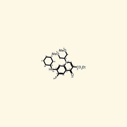 CCOC(=O)c1cn(C(COC)COC)c2cc(NC3CCCCC3)c(F)cc2c1=O